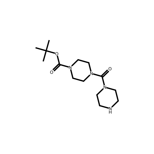 CC(C)(C)OC(=O)N1CCN(C(=O)N2CCNCC2)CC1